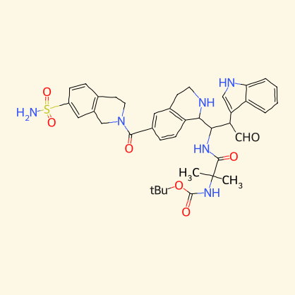 CC(C)(C)OC(=O)NC(C)(C)C(=O)NC(C(C=O)c1c[nH]c2ccccc12)C1NCCc2cc(C(=O)N3CCc4ccc(S(N)(=O)=O)cc4C3)ccc21